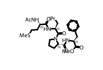 COC(=O)[C@H](Cc1ccccc1)NC(=O)[C@@H]1CCCN1C(=O)[C@H](CC(C)C)NC(=O)[C@H](CCSC)NC(C)=O